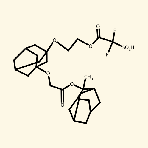 CC1(OC(=O)COC23CC4CC(CC(OCCOC(=O)C(F)(F)S(=O)(=O)O)(C4)C2)C3)C2CC3CC(C2)CC1C3